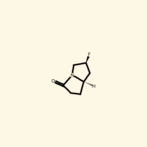 O=C1CC[C@@H]2C[C@H](F)CN12